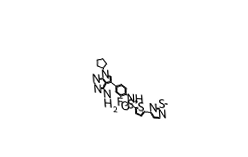 CSc1nccc(-c2ccc([S+]([O-])Nc3ccc(-c4cn(C5CCCC5)c5ncnc(N)c45)cc3F)s2)n1